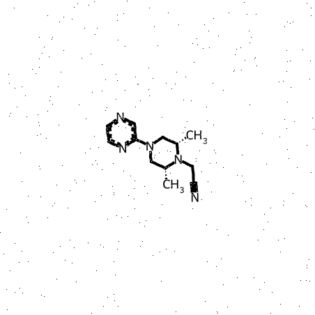 C[C@@H]1CN(c2cnccn2)C[C@H](C)N1CC#N